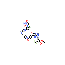 COc1cc2nc(C)nc(N[C@H](C)c3cc(C(=O)OC(C)(C)C)cc(C(F)(F)F)c3)c2cc1C1CCC(C(=O)N2CCC(CCCN(C)C3CCN(c4ccc(Cl)c(N5CCC(=O)NC5=O)c4)CC3)CC2)CC1